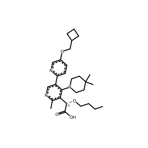 CCCCO[C@H](C(=O)O)c1c(C)ncc(-c2ccc(OCC3CCC3)cn2)c1N1CCC(C)(C)CC1